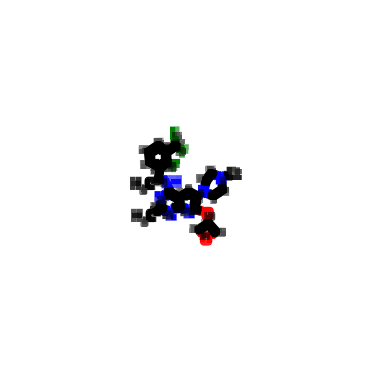 CCN1CCN(c2cc3c(N[C@H](C)c4cccc(C(F)F)c4F)nc(C)nc3nc2OC2COC2)CC1